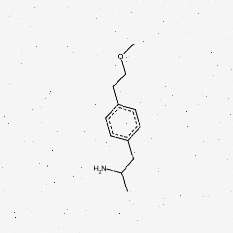 COCCc1ccc(CC(C)N)cc1